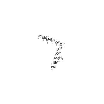 [MgH2].[MgH2].[Nb+5].[Nb+5].[O-2].[O-2].[O-2].[O-2].[O-2].[Pb].[Pb]